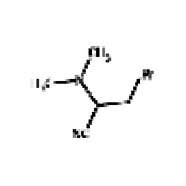 CC(C)CC(C#N)N(C)C